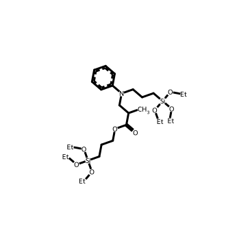 CCO[Si](CCCOC(=O)C(C)CN(CCC[Si](OCC)(OCC)OCC)c1ccccc1)(OCC)OCC